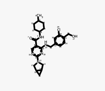 CC1CCC(NC(=O)c2cnc(N3CC4CC4C3)nc2NCc2ccc(CO)c(Cl)c2)CC1